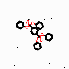 COC(Oc1ccccc1)(Oc1ccccc1)c1ccc(C(OC)(Oc2ccccc2)Oc2ccccc2)cc1